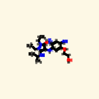 CCn1c(NC(C)C)c(/N=C2/C=C(OCCO)C(=N)C=C2N)c(=O)n1CC